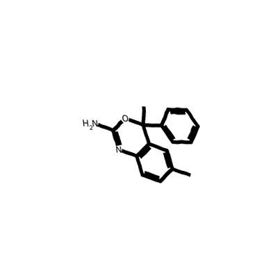 Cc1ccc2c(c1)C(C)(c1ccccc1)OC(N)=N2